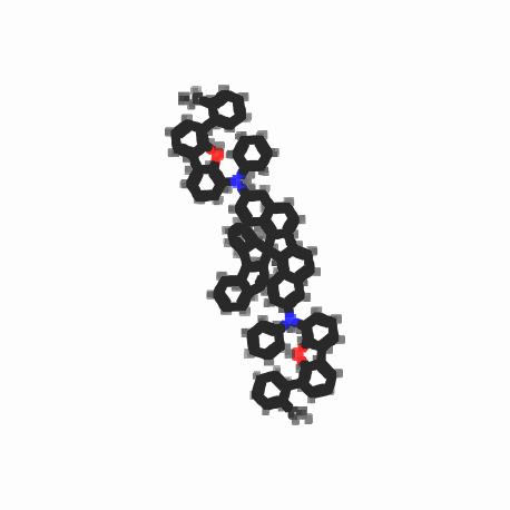 Cc1ccccc1-c1cccc2c1oc1c(N(c3ccccc3)c3ccc4c5c(ccc4c3)-c3ccc4cc(N(c6ccccc6)c6cccc7c6oc6c(-c8ccccc8C)cccc67)ccc4c3C53c4ccccc4-c4c3ccc3ccccc43)cccc12